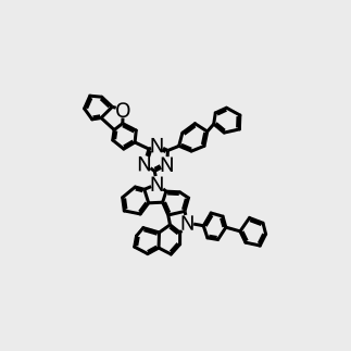 c1ccc(-c2ccc(-c3nc(-c4ccc5c(c4)oc4ccccc45)nc(-n4c5ccccc5c5c6c7c8ccccc8ccc7n(-c7ccc(-c8ccccc8)cc7)c6ccc54)n3)cc2)cc1